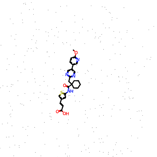 COc1ccc(-c2cnc(CC3(C(=O)Nc4cc(/C=C/C(=O)O)cs4)CCCCC3)nc2)cn1